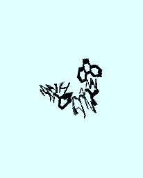 c1ccc2c(c1)ccc1cccc(-n3ncc4cnc(Nc5ccc(-c6nnn[nH]6)cc5)nc43)c12